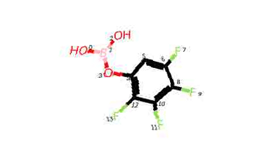 OB(O)Oc1cc(F)c(F)c(F)c1F